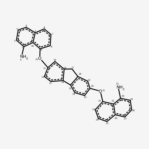 Nc1cccc2cccc(Oc3ccc4c(c3)Cc3cc(Oc5cccc6cccc(N)c56)ccc3-4)c12